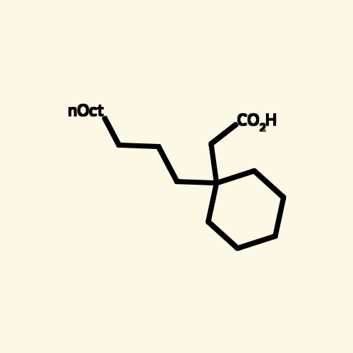 CCCCCCCCCCCC1(CC(=O)O)CCCCC1